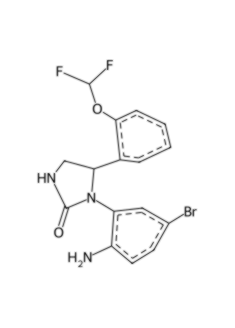 Nc1ccc(Br)cc1N1C(=O)NCC1c1ccccc1OC(F)F